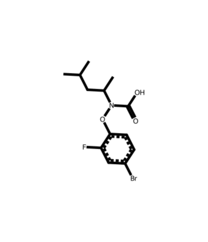 CC(C)CC(C)N(Oc1ccc(Br)cc1F)C(=O)O